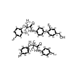 CC(C)(Oc1ccc(F)cc1)C(=O)Nc1ccc(-c2ccc(CO)cc2F)cc1.CC(C)(Oc1ccc(F)cc1)C(=O)Nc1ccc(I)cc1